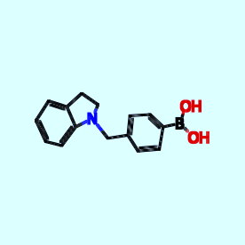 OB(O)c1ccc(CN2CCc3ccccc32)cc1